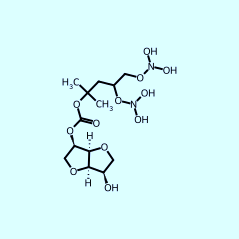 CC(C)(CC(CON(O)O)ON(O)O)OC(=O)O[C@@H]1CO[C@H]2[C@@H]1OC[C@H]2O